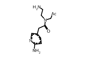 CC(=O)CN(CCN)C(=O)Cc1ccc(N)nc1